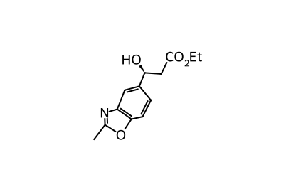 CCOC(=O)C[C@H](O)c1ccc2oc(C)nc2c1